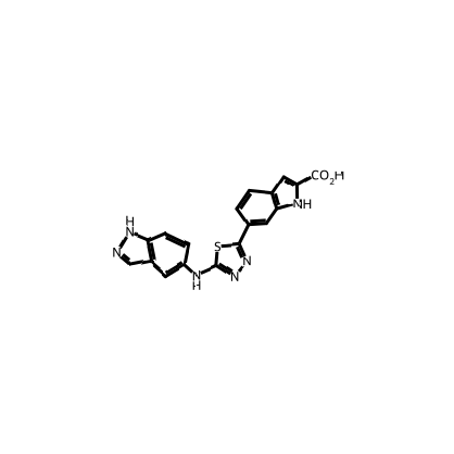 O=C(O)c1cc2ccc(-c3nnc(Nc4ccc5[nH]ncc5c4)s3)cc2[nH]1